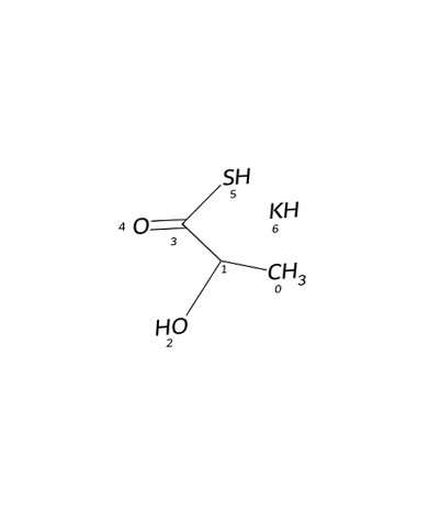 CC(O)C(=O)S.[KH]